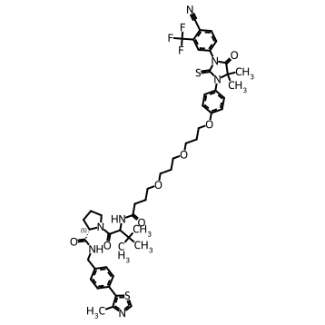 Cc1ncsc1-c1ccc(CNC(=O)[C@@H]2CCCN2C(=O)C(NC(=O)CCCOCCCOCCCOc2ccc(N3C(=S)N(c4ccc(C#N)c(C(F)(F)F)c4)C(=O)C3(C)C)cc2)C(C)(C)C)cc1